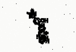 Cc1nc(-c2ccc(-c3cnc(N(C)[C@@H]4C[C@H]5CC[C@H](N5)[C@@H]4F)cn3)c(O)c2)nn1C